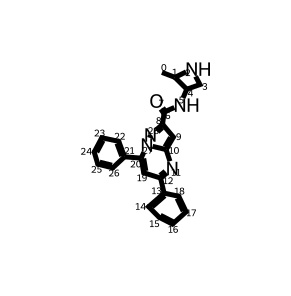 CC1NCC1NC(=O)c1cc2nc(-c3ccccc3)cc(-c3ccccc3)n2n1